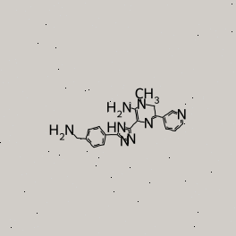 CN1CC(c2cccnc2)=NC(c2nnc(-c3ccc(CN)cc3)[nH]2)=C1N